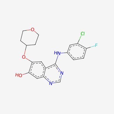 Oc1cc2ncnc(Nc3ccc(F)c(Cl)c3)c2cc1OC1CCOCC1